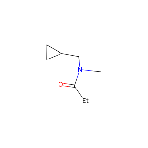 CCC(=O)N(C)CC1CC1